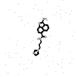 NC1=Nc2ccc(C(=O)NCCCn3ccnc3)c3cccc1c23